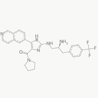 N[C@H](CNC1=NC(C(=O)N2CCCC2)=C(c2ccc3cnccc3c2)B1)Cc1ccc(C(F)(F)F)cc1